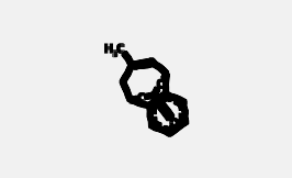 CC1=CC2CC(=O)CC(C1)c1ccccc12